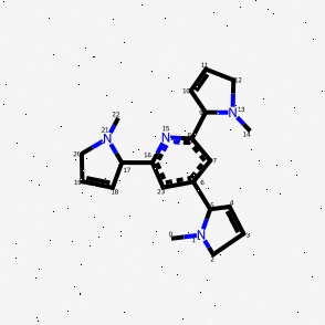 CN1CC=CC1c1cc(C2C=CCN2C)nc(C2C=CCN2C)c1